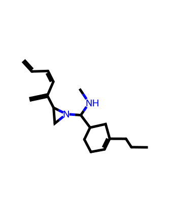 C=C/C=C\C(=C)C1CN1C(NC)C1CCC=C(CCC)C1